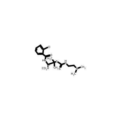 CN(C)CCNC(=S)SC(C)(C)[C@H](NC(=O)c1ccccc1Cl)C(=O)O